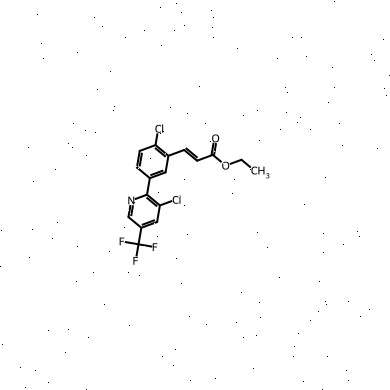 CCOC(=O)C=Cc1cc(-c2ncc(C(F)(F)F)cc2Cl)ccc1Cl